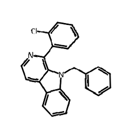 Clc1ccccc1-c1nccc2c3ccccc3n(Cc3ccccc3)c12